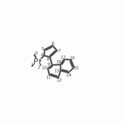 [CH3][Pt]([CH3])([CH3])[CH]1C=CC=C1c1cccc2ccccc12